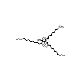 CCCCCCCCCCCCCCCCCCC(C(=O)O)C(O)(C(=O)O)C(CCCCCCCCCCCCCCCCCC)(CCCCCCCCCCCCCCCCCC)C(=O)O